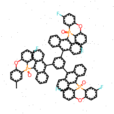 Cc1ccc2c(c1)P(=O)(c1c3ccccc3c(-c3cc(-c4c5ccccc5c(P5(=O)c6cc(F)ccc6Oc6ccc(F)cc65)c5ccccc45)cc(-c4c5ccccc5c(P5(=O)c6cc(F)ccc6Oc6ccc(F)cc65)c5ccccc45)c3)c3ccccc13)c1cc(F)ccc1O2